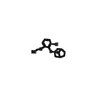 CN1C2CCC1CC(Sc1c(Cl)cccc1OCC#N)C2